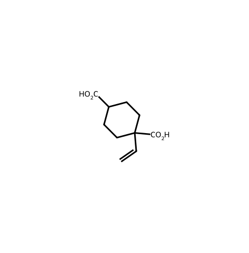 C=CC1(C(=O)O)CCC(C(=O)O)CC1